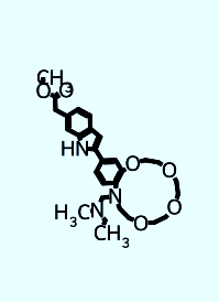 CCN(C)CN1CCOCCOCCOCCOc2cc(-c3cc4ccc(CC(=O)OC)cc4[nH]3)ccc21